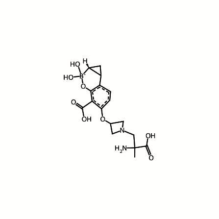 CC(N)(CN1CC(Oc2ccc3c(c2C(=O)O)O[B-](O)(O)[C@@H]2CC32)C1)C(=O)O